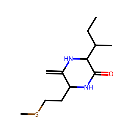 C=C1NC(C(C)CC)C(=O)NC1CCSC